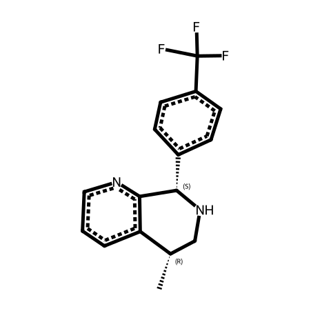 C[C@H]1CN[C@@H](c2ccc(C(F)(F)F)cc2)c2ncccc21